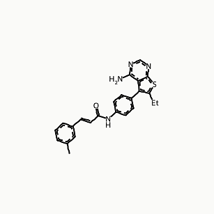 CCc1sc2ncnc(N)c2c1-c1ccc(NC(=O)C=Cc2cccc(C)c2)cc1